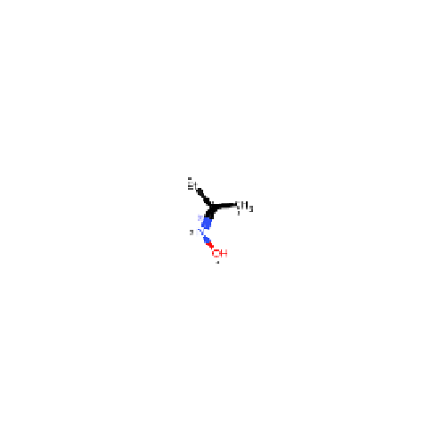 CC/C(C)=N/O